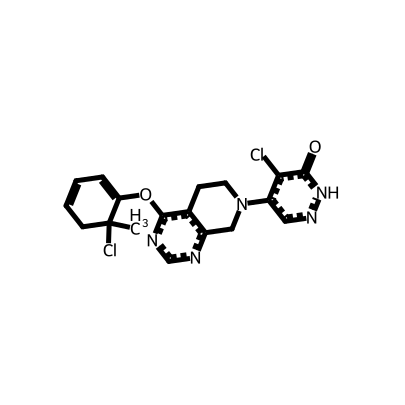 CC1(Cl)CC=CC=C1Oc1ncnc2c1CCN(c1cn[nH]c(=O)c1Cl)C2